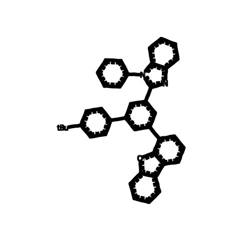 CC(C)(C)c1ccc(-c2cc(-c3cccc4c3oc3ccccc34)cc(-c3nc4ccccc4n3-c3ccccc3)c2)cc1